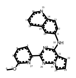 COc1cccc(-c2nc(Nc3ccc4ncccc4c3)c3cccn3n2)n1